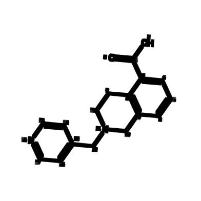 O=C(O)c1cccc2c1CCN(Cc1ccncc1)C2